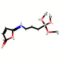 CCO[Si](CCCN=C1C=CC(=O)O1)(OCC)OCC